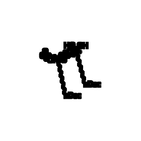 CCCCCCCCCCCCCCCCCCCCCC[N+](C)(C)CC(O)CS(=O)(=O)[O-].CCCCCCCCCCCCCCCCCCCC[N+](CCO)(CCO)CC(O)CS(=O)(=O)[O-]